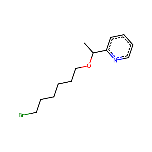 CC(OCCCCCCBr)c1ccccn1